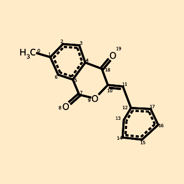 Cc1ccc2c(c1)C(=O)OC(=Cc1ccccc1)C2=O